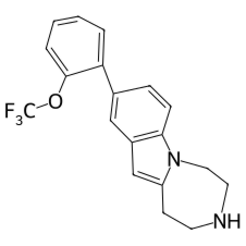 FC(F)(F)Oc1ccccc1-c1ccc2c(c1)cc1n2CCNCC1